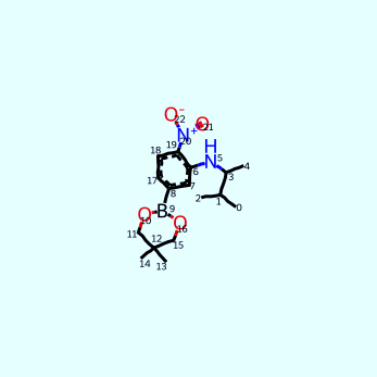 CC(C)C(C)Nc1cc(B2OCC(C)(C)CO2)ccc1[N+](=O)[O-]